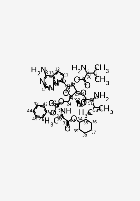 CC(C)[C@H](N)C(=O)O[C@H]1[C@H](c2ccc3c(N)ncnn23)O[C@](C#N)(CO[P@@](=O)(N[C@@H](C)C(=O)OC2CCCCC2)Oc2ccccc2)[C@H]1OC(=O)[C@@H](N)C(C)C